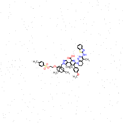 COc1ccc(-c2c(N3CCCc4c3nnc(Nc3nc5ccccc5s3)c4C)nc(C(=O)O)c(-c3cnn(CC45CC6(C)CC(C)(C4)CC(OCCOS(=O)(=O)c4ccc(C)cc4)(C6)C5)c3C)c2C)cc1